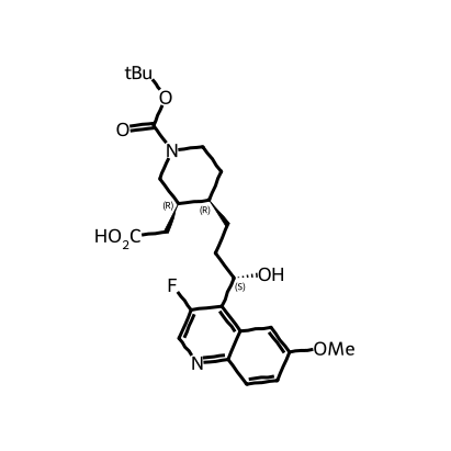 COc1ccc2ncc(F)c([C@@H](O)CC[C@@H]3CCN(C(=O)OC(C)(C)C)C[C@@H]3CC(=O)O)c2c1